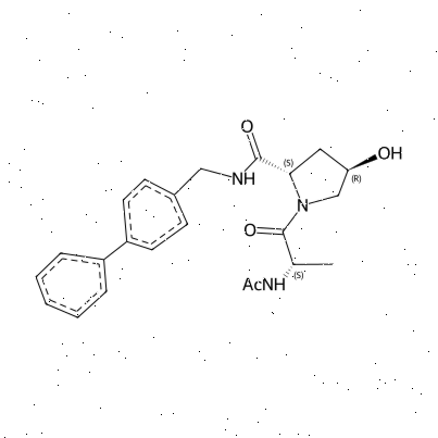 CC(=O)N[C@@H](C)C(=O)N1C[C@H](O)C[C@H]1C(=O)NCc1ccc(-c2ccccc2)cc1